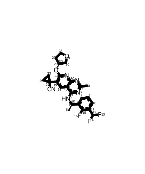 Cc1nc(N[C@H](C)c2cccc(C(F)F)c2F)c2cc(C3(C#N)CC3)c(O[C@@H]3CCOC3)nc2n1